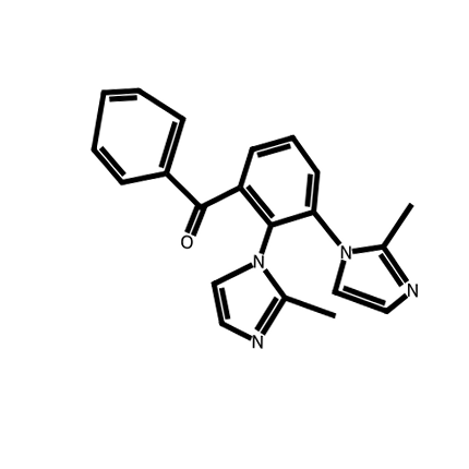 Cc1nccn1-c1cccc(C(=O)c2ccccc2)c1-n1ccnc1C